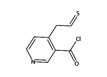 O=C(Cl)c1cnccc1CC=S